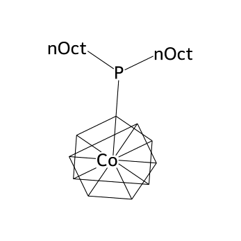 CCCCCCCCP(CCCCCCCC)[C]12[CH]3[CH]4[CH]5[CH]1[Co]45321678[CH]2[CH]1[CH]6[CH]7[CH]28